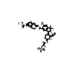 CC1(C)CC(c2ccc(OCCCS(C)(=O)=O)cc2C(F)(F)F)c2cc(COc3cc4c(cn3)C3C(C4)[C@@H]3C(=O)O)c(F)cc21